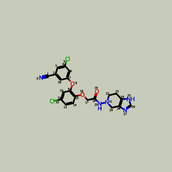 N#Cc1cc(Cl)cc(Oc2cc(Cl)ccc2OCC(=O)NN2CCc3[nH]cnc3C2)c1